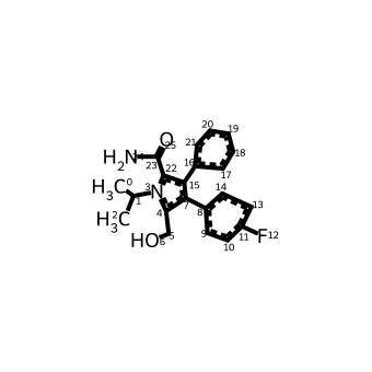 CC(C)n1c(CO)c(-c2ccc(F)cc2)c(-c2ccccc2)c1C(N)=O